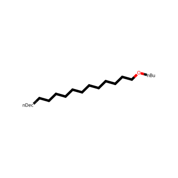 [CH2]CCCCCCCCCCCCCCCCCCCCCOCCCC